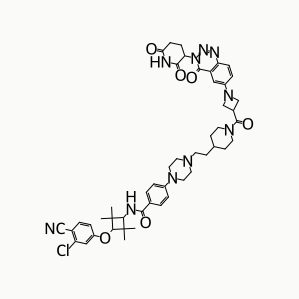 CC1(C)C(NC(=O)c2ccc(N3CCN(CCC4CCN(C(=O)C5CN(c6ccc7nnn(C8CCC(=O)NC8=O)c(=O)c7c6)C5)CC4)CC3)cc2)C(C)(C)C1Oc1ccc(C#N)c(Cl)c1